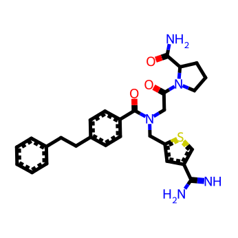 N=C(N)c1csc(CN(CC(=O)N2CCCC2C(N)=O)C(=O)c2ccc(CCc3ccccc3)cc2)c1